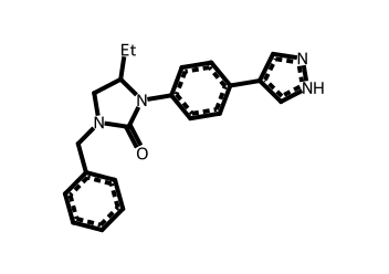 CCC1CN(Cc2ccccc2)C(=O)N1c1ccc(-c2cn[nH]c2)cc1